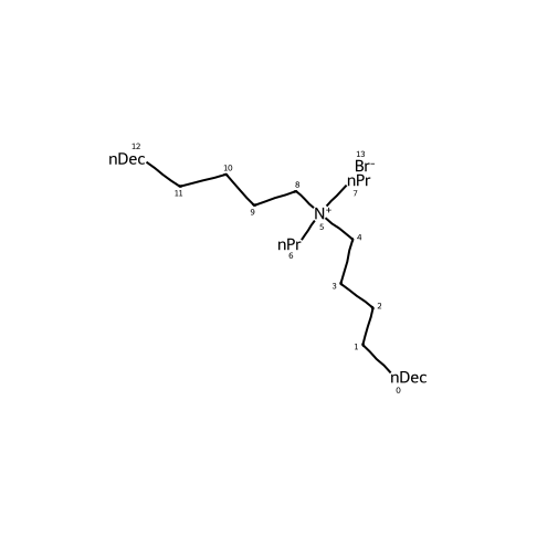 CCCCCCCCCCCCCC[N+](CCC)(CCC)CCCCCCCCCCCCCC.[Br-]